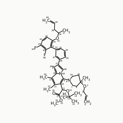 C=CCOC1(C)CCN(c2c(C(OC(C)(C)C)C(=O)OC)c(C)c(C)c3nc(-c4cccc(-c5c(OC(C)CC=C)ccc(F)c5F)c4)cn23)CC1